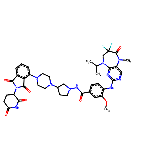 COc1cc(C(=O)NN2CCC(N3CCN(c4cccc5c4C(=O)N(C4CCC(=O)NC4=O)C5=O)CC3)C2)ccc1Nc1ncc2c(n1)N(C(C)C)CC(F)(F)C(=O)N2C